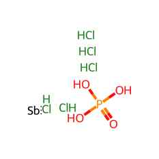 Cl.Cl.Cl.Cl.Cl.O=P(O)(O)O.[Sb]